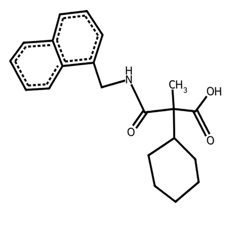 CC(C(=O)O)(C(=O)NCc1cccc2ccccc12)C1CCCCC1